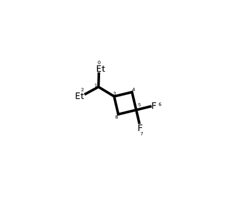 CCC(CC)C1CC(F)(F)C1